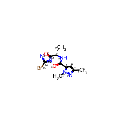 C[C@H](NC(=O)c1cc(C(F)(F)F)nn1C)c1nc(Br)no1